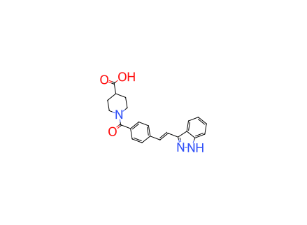 O=C(O)C1CCN(C(=O)c2ccc(/C=C/c3n[nH]c4ccccc34)cc2)CC1